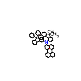 CC1(C)c2cccc(N(c3ccc(-c4cccc5cccc(-c6ccccc6)c45)cc3)c3ccc4c(c3)-c3ccccc3C4(c3ccccc3)c3ccccc3)c2-c2c1ccc1ccccc21